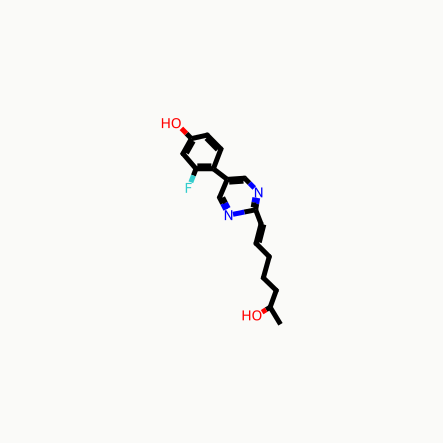 CC(O)CCC/C=C/c1ncc(-c2ccc(O)cc2F)cn1